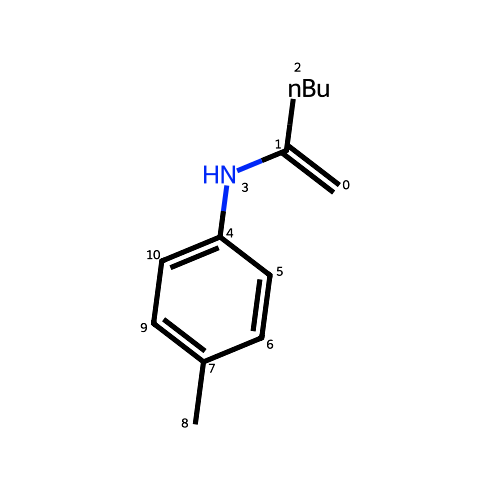 C=C(CCCC)Nc1ccc(C)cc1